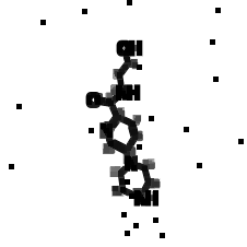 O=C(NCCO)c1ccc(N2CCNCC2)cn1